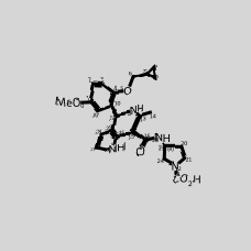 COc1ccc(OCC2CC2)c(C2NC(C)=C(C(=O)N[C@@H]3CCN(C(=O)O)C3)c3[nH]ccc32)c1